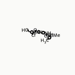 COc1ccc(C)cc1NC(=O)Nc1ccc(N2CCN(C(=O)Oc3ccc(CCO)cc3Cl)CC2)cc1